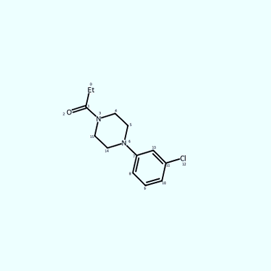 CCC(=O)N1CCN(c2cccc(Cl)c2)CC1